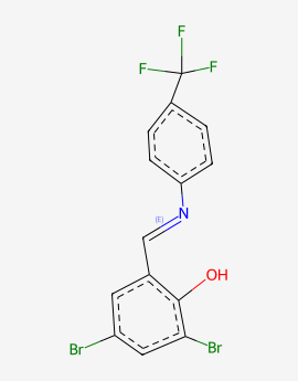 Oc1c(Br)cc(Br)cc1/C=N/c1ccc(C(F)(F)F)cc1